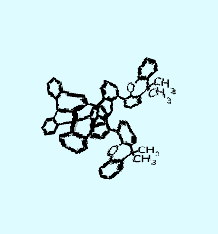 CC1(C)c2ccccc2Oc2c(-c3cccc4c(-c5cc6ccccc6c6c5C5(c7ccccc7-c7ccccc75)c5ccccc5-6)c5cccc(-c6cccc7c6Oc6ccccc6C7(C)C)c5cc34)cccc21